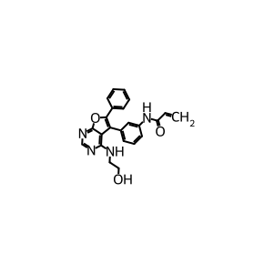 C=CC(=O)Nc1cccc(-c2c(-c3ccccc3)oc3ncnc(NCCO)c23)c1